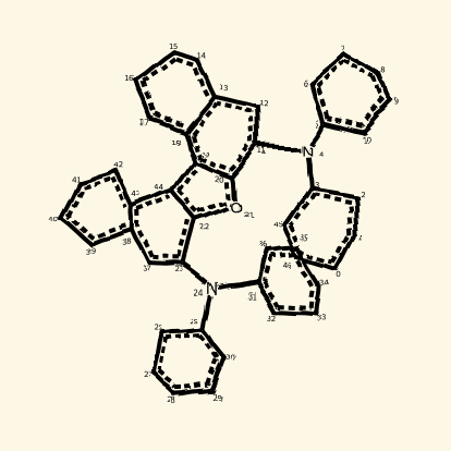 c1ccc(N(c2ccccc2)c2cc3ccccc3c3c2oc2c(N(c4ccccc4)c4ccccc4)cc4ccccc4c23)cc1